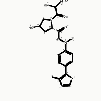 CCN(NC(=O)[C@@H]1C[C@@H](O)CN1C(=O)C(NC(C)=O)C(C)(C)C)c1ccc(-c2scnc2C)cc1